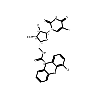 CCc1cn([C@@H]2O[C@H](CNC(=O)[C@@H]3c4ccccc4Oc4c(Cl)cccc43)[C@@H](O)[C@H]2F)c(=O)[nH]c1=O